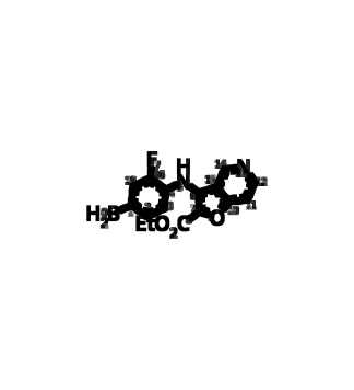 Bc1ccc(Nc2c(C(=O)OCC)oc3ccncc23)c(F)c1